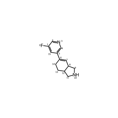 Fc1cncc(C2=CC3CNCC3CC2)c1